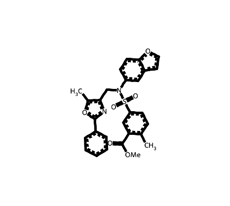 COC(=O)c1cc(S(=O)(=O)N(Cc2nc(-c3ccccc3)oc2C)c2ccc3occc3c2)ccc1C